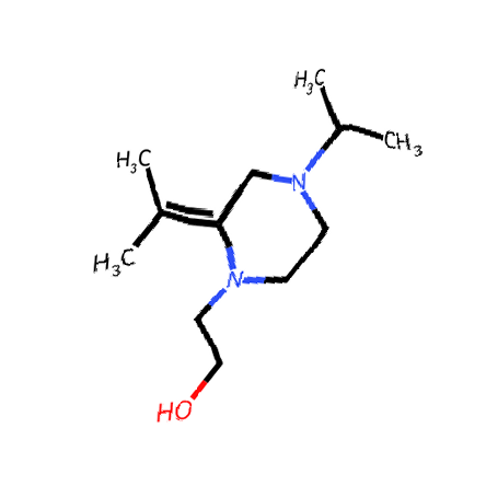 CC(C)=C1CN(C(C)C)CCN1CCO